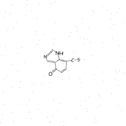 O=c1ccc(C[S])c2[nH]cncc1-2